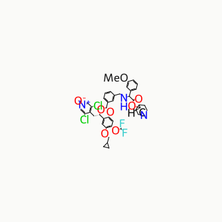 COc1cccc(C(NCc2cccc(C(=O)O[C@@H](Cc3c(Cl)c[n+]([O-])cc3Cl)c3ccc(OC(F)F)c(OCC4CC4)c3)c2)C(=O)O[C@H]2CN3CCC2CC3)c1